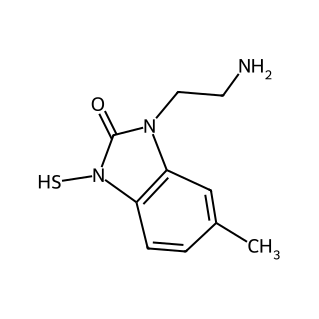 Cc1ccc2c(c1)n(CCN)c(=O)n2S